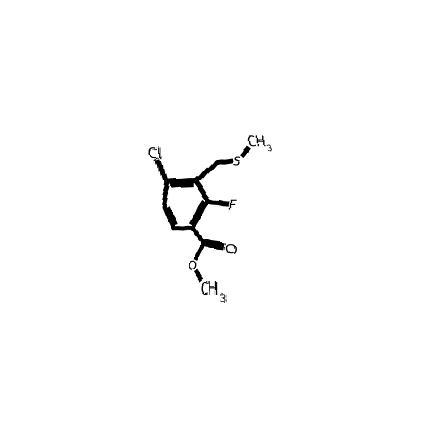 COC(=O)c1ccc(Cl)c(CSC)c1F